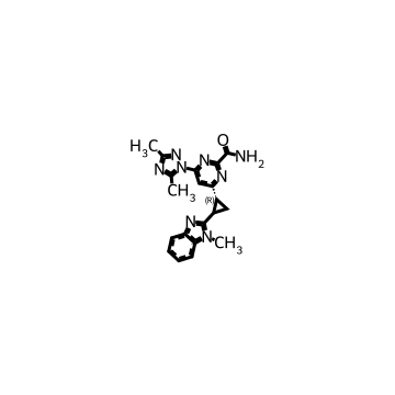 Cc1nc(C)n(-c2cc([C@@H]3CC3c3nc4ccccc4n3C)nc(C(N)=O)n2)n1